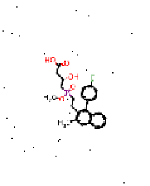 COP(=O)(CCc1c(C)cc2ccccc2c1-c1ccc(F)cc1)C[C@@H](O)CC(=O)O